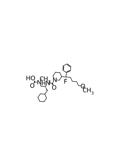 COCCCC[C@](F)(c1ccccc1)C1CCCN(C(=O)N[C@@H](CC2CCCCC2)CN(C)C(=O)O)C1